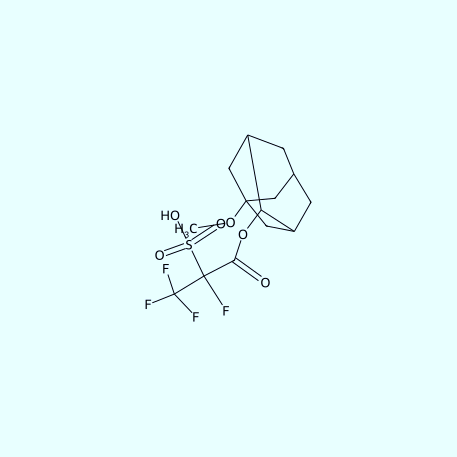 COC12CC3CC(C1)C(OC(=O)C(F)(C(F)(F)F)S(=O)(=O)O)C(C3)C2